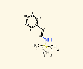 CS(C)(C)NC=Cc1ccccc1